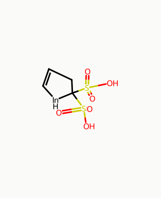 O=S(=O)(O)[C]1(S(=O)(=O)O)CC=[CH][InH]1